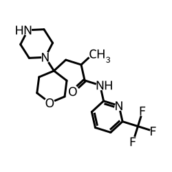 CC(CC1(N2CCNCC2)CCOCC1)C(=O)Nc1cccc(C(F)(F)F)n1